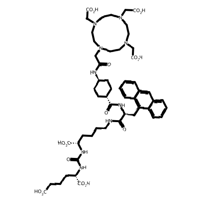 O=C(O)CCC[C@H](NC(=O)N[C@@H](CCCCNC(=O)[C@H](Cc1c2ccccc2cc2ccccc12)NC(=O)[C@H]1CC[C@H](NC(=O)CN2CCN(CC(=O)O)CCN(CC(=O)O)CCN(CC(=O)O)CC2)CC1)C(=O)O)C(=O)O